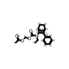 CCN(C(=O)OCOC(C)=O)C1C2CCC(C2)C1c1ccccc1